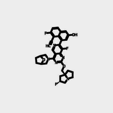 C#Cc1c(F)ccc2cc(O)cc(-c3ncc4c(N5CC6CCC(C5)O6)nc(OC[C@@]56CCCN5C[C@H](F)C6)nc4c3F)c12